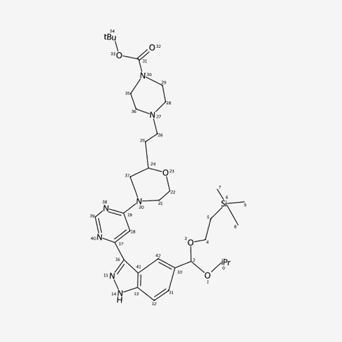 CC(C)OC(OCC[Si](C)(C)C)c1ccc2[nH]nc(-c3cc(N4CCOC(CCN5CCN(C(=O)OC(C)(C)C)CC5)C4)ncn3)c2c1